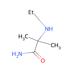 CCNC(C)(C)C(N)=O